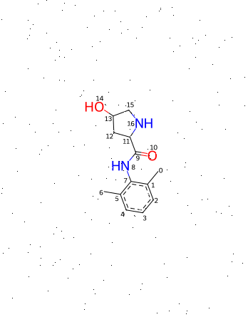 Cc1cccc(C)c1NC(=O)C1CC(O)CN1